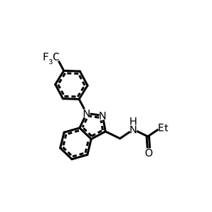 CCC(=O)NCc1nn(-c2ccc(C(F)(F)F)cc2)c2ccccc12